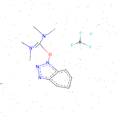 CN(C)C(On1nnc2ccccc21)=[N+](C)C.FB(F)F.[F-]